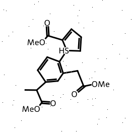 COC(=O)Cc1cc(C(C)C(=O)OC)ccc1[SH]1C=CC=C1C(=O)OC